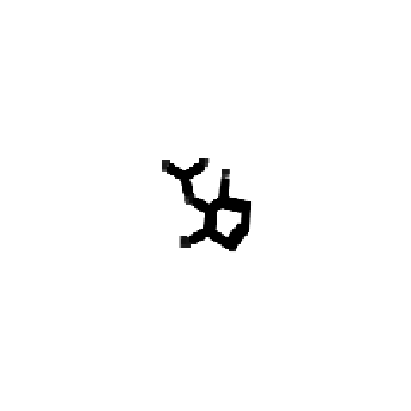 Fc1cc[c]c(Br)c1OC(F)F